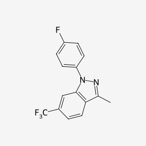 Cc1nn(-c2ccc(F)cc2)c2cc(C(F)(F)F)ccc12